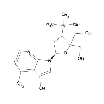 Cc1cn([C@H]2CC([Si](C)(C)C(C)(C)C)C(CO)(CO)O2)c2ncnc(N)c12